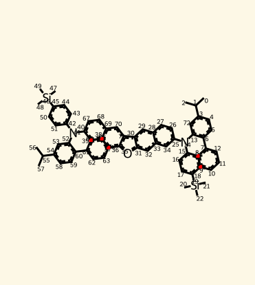 CC(C)c1ccc(-c2ccccc2)c(N(c2ccc([Si](C)(C)C)cc2)c2ccc3cc4c(cc3c2)oc2cc3cc(N(c5ccc([Si](C)(C)C)cc5)c5cc(C(C)C)ccc5-c5ccccc5)ccc3cc24)c1